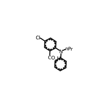 CCCN(c1ccccc1)c1ccc(Cl)cc1C(=O)O